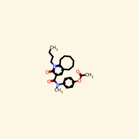 CCCCn1c2c(cc(C(=O)N(C)c3ccc(OC(C)=O)cc3)c1=O)CCCCCC2